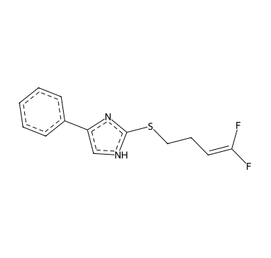 FC(F)=CCCSc1nc(-c2ccccc2)c[nH]1